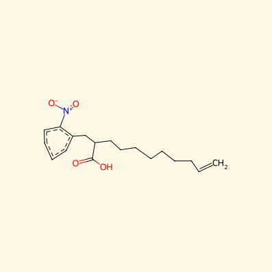 C=CCCCCCCCC(Cc1ccccc1[N+](=O)[O-])C(=O)O